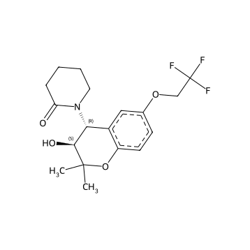 CC1(C)Oc2ccc(OCC(F)(F)F)cc2[C@@H](N2CCCCC2=O)[C@@H]1O